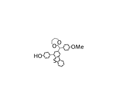 COc1ccc(C(c2cc(-c3ccc(O)cc3)c3sc4ccccc4c3c2)C2OCCCCO2)cc1